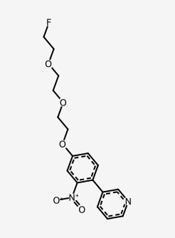 O=[N+]([O-])c1cc(OCCOCCOCCF)ccc1-c1cccnc1